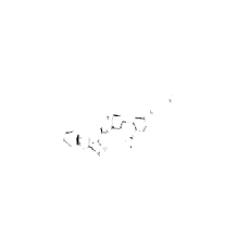 CC(C)(O)CCCOc1ccc(C#N)c(-c2ccnc(NC(=O)c3nnc(Cc4ccccc4)[nH]3)c2)c1